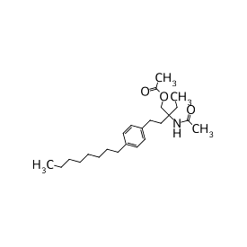 CCCCCCCCc1ccc(CCC(CC)(COC(C)=O)NC(C)=O)cc1